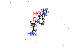 O=C(C1C=C(c2cn[nH]c2)SC1)N1CCCC2CC(O)(c3ncccn3)CC21